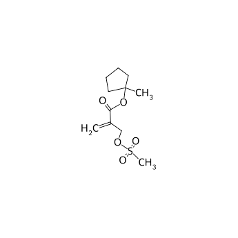 C=C(COS(C)(=O)=O)C(=O)OC1(C)CCCC1